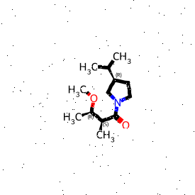 CO[C@H](C)[C@H](C)C(=O)N1CC[C@H](C(C)C)C1